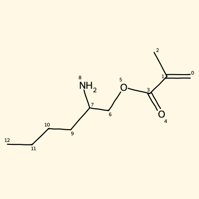 C=C(C)C(=O)OCC(N)CCCC